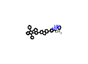 CC(NC1C=CC=CN1)c1ccc(C2=CC3=C(CC2)C2=CC=C(C4=CC=C5C6C(=CC=CC46)C4C(C6=CC=CCC6)=c6ccccc6=C(C6=CC=CCC6)C54)CC2CC3)cc1